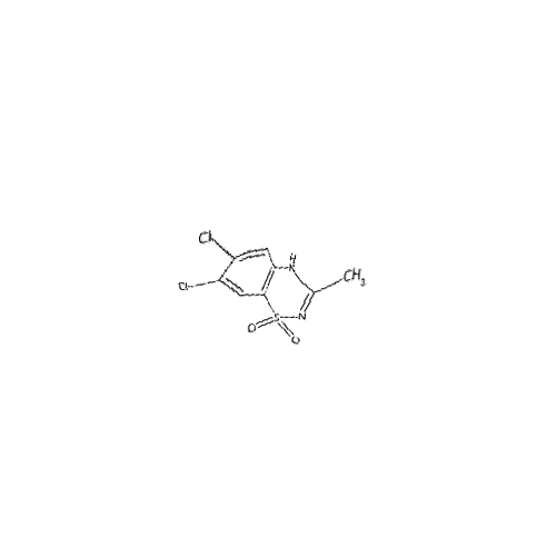 CC1=NS(=O)(=O)c2cc(Cl)c(Cl)cc2N1